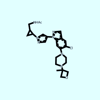 CC(=O)NCC1CC1n1cc(-n2ncc3cc(Cl)c(N4CCN(C5(C)COC5)CC4)cc32)cn1